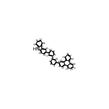 c1cc(-c2cccc(-c3ccc4c5ccccc5c5ccccc5c4c3)c2)cc(-c2ccc3[nH]c4ccccc4c3c2)c1